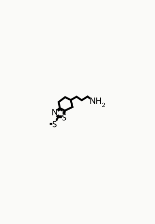 CSc1nc2c(s1)CC(CCCN)CC2